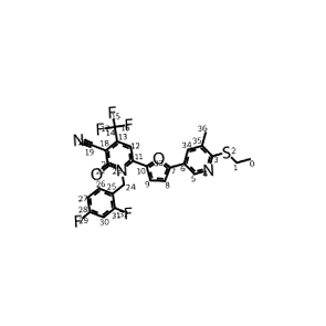 CCSc1ncc(-c2ccc(-c3cc(C(F)(F)F)c(C#N)c(=O)n3Cc3ccc(F)cc3F)o2)cc1C